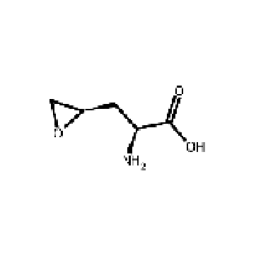 N[C@@H](C[C@@H]1CO1)C(=O)O